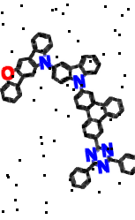 c1ccc(-c2nc(-c3ccccc3)nc(-c3ccc4c5ccc(-n6c7ccccc7c7cc(-n8c9ccccc9c9cc%10oc%11ccccc%11c%10cc98)ccc76)cc5c5ccccc5c4c3)n2)cc1